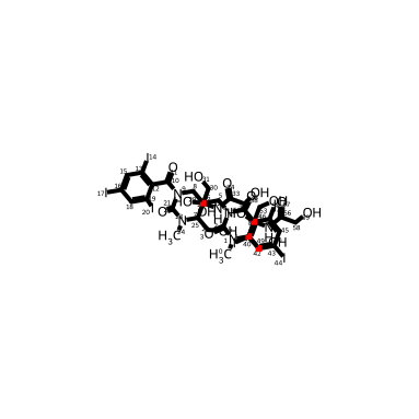 CN(C(=O)N(CC(O)CN(C(=O)c1c(I)cc(I)cc1I)C(=O)N(C)C(CO)C(O)(CO)NC(=O)CO)C(=O)c1c(I)cc(I)cc1I)C(CO)C(O)(CO)NC(=O)CO